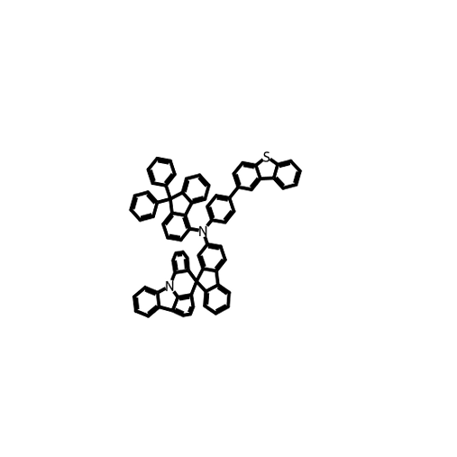 c1ccc(C2(c3ccccc3)c3ccccc3-c3c(N(c4ccc(-c5ccc6sc7ccccc7c6c5)cc4)c4ccc5c(c4)C4(c6ccccc6-5)c5ccccc5-n5c6ccccc6c6cccc4c65)cccc32)cc1